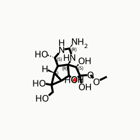 COOC(O)(O)[C@@H](O)[C@@]12N[C@@H](N)N[C@@H](O)C1[C@@H]1C(C2O)C1(O)CO